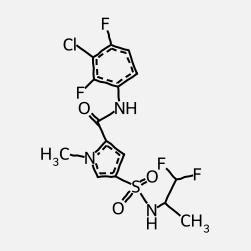 CC(NS(=O)(=O)c1cc(C(=O)Nc2ccc(F)c(Cl)c2F)n(C)c1)C(F)F